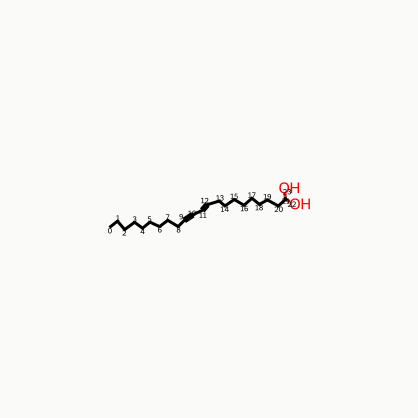 CCCCCCCCCC#CC#CCCCCCCCCC(O)O